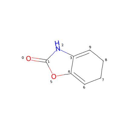 O=c1[nH]c2c(o1)=CCCC=2